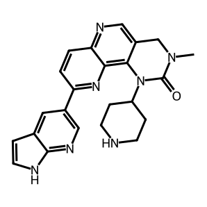 CN1Cc2cnc3ccc(-c4cnc5[nH]ccc5c4)nc3c2N(C2CCNCC2)C1=O